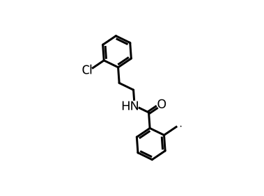 [CH2]c1ccccc1C(=O)NCCc1ccccc1Cl